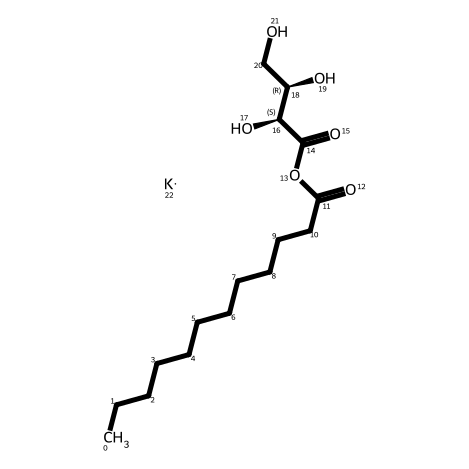 CCCCCCCCCCCC(=O)OC(=O)[C@@H](O)[C@H](O)CO.[K]